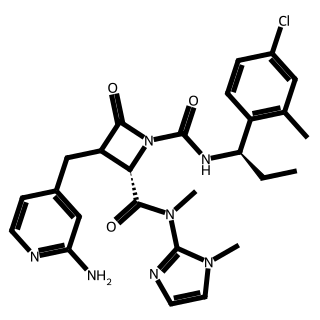 CC[C@@H](NC(=O)N1C(=O)C(Cc2ccnc(N)c2)[C@H]1C(=O)N(C)c1nccn1C)c1ccc(Cl)cc1C